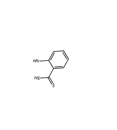 CCCc1ccccc1C(=S)S